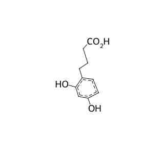 O=C(O)CCCc1ccc(O)cc1O